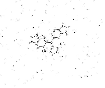 O=C1OCC2=C1C(c1ccc3c(c1)OCO3)c1cc3c(cc1N2)OCO3